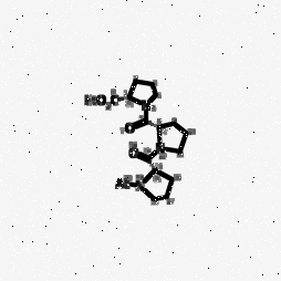 CCOC(=O)[C@@H]1CCCN1C(=O)[C@@H]1CCCN1C(=O)[C@@H]1CCCN1C(C)=O